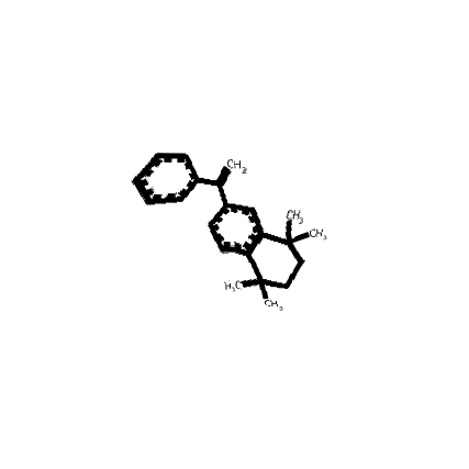 C=C(c1ccccc1)c1ccc2c(c1)C(C)(C)CCC2(C)C